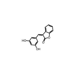 O=C1Oc2ccccc2/C1=C/c1cc(O)cc(O)c1